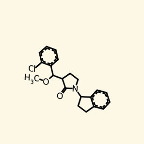 COC(c1ccccc1Cl)C1CCN(C2CCc3ccccc32)C1=O